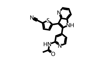 CC(=O)Nc1cc(-c2[nH]c3cccnc3c2-c2ccc(C#N)s2)ccn1